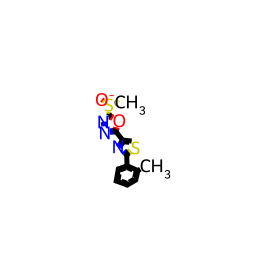 Cc1ccccc1-c1nc(-c2nnc([S+](C)[O-])o2)cs1